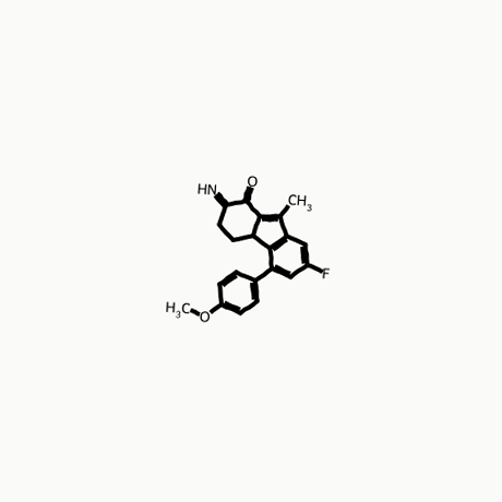 COc1ccc(-c2cc(F)cc3c2C2CCC(=N)C(=O)C2=C3C)cc1